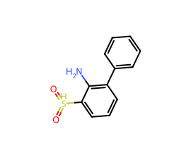 Nc1c(-c2ccccc2)cccc1[SH](=O)=O